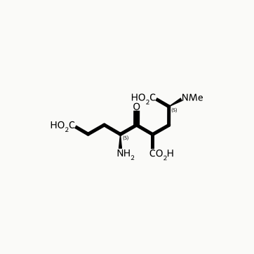 CN[C@@H](CC(C(=O)O)C(=O)[C@@H](N)CCC(=O)O)C(=O)O